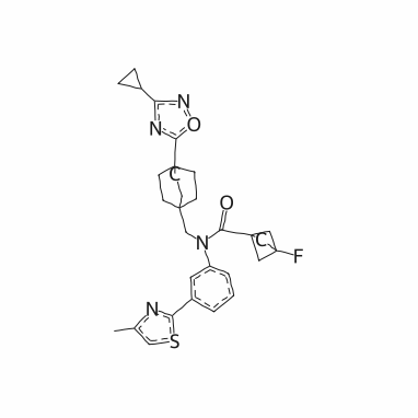 Cc1csc(-c2cccc(N(CC34CCC(c5nc(C6CC6)no5)(CC3)CC4)C(=O)C34CC(F)(C3)C4)c2)n1